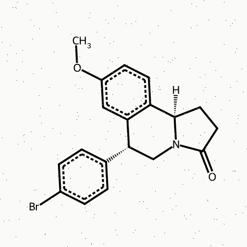 COc1ccc2c(c1)[C@@H](c1ccc(Br)cc1)CN1C(=O)CC[C@H]21